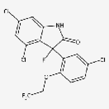 O=C1Nc2cc(Cl)cc(Cl)c2C1(F)c1cc(Cl)ccc1OCC(F)(F)F